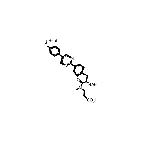 CCCCCCCOc1ccc(-c2cnc(-c3ccc(CC(NC)C(=O)N(C)CCC(=O)O)cc3)nc2)cc1